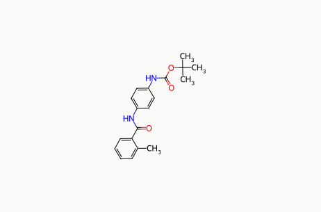 Cc1ccccc1C(=O)Nc1ccc(NC(=O)OC(C)(C)C)cc1